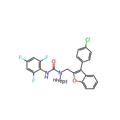 CCCCCCCN(Cc1oc2ccccc2c1-c1ccc(Cl)cc1)C(=O)Nc1c(F)cc(F)cc1F